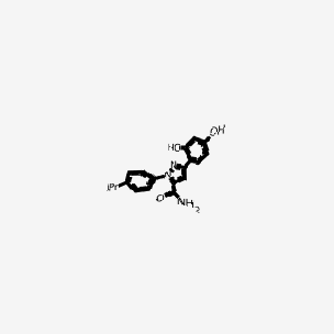 CC(C)c1ccc(-n2nc(-c3ccc(O)cc3O)cc2C(N)=O)cc1